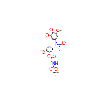 COc1ccc([C@H]2C(C)C(=O)N2c2cc(OC)c(OC)c(OC)c2)cc1OC(=O)CNC(=O)OC(C)(C)C